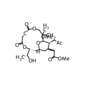 COC(=O)/C=C1\C[C@H]2C[C@H]([C@@H](C)O)OC(=O)CCC(=O)OCC(C)(C)[C@](OC)(O2)[C@H]1CC(C)=O